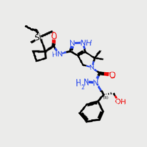 CC[Si](C)(C)C1(C(=O)Nc2n[nH]c3c2CN(C(=O)N(N)[C@H](CO)c2ccccc2)C3(C)C)CCC1